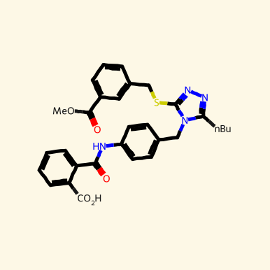 CCCCc1nnc(SCc2cccc(C(=O)OC)c2)n1Cc1ccc(NC(=O)c2ccccc2C(=O)O)cc1